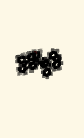 c1ccc(-c2nc(-c3cccc4sc5ccccc5c34)nc(-n3c4ccccc4c4c5c(ccc43)-c3ccccc3C53c4ccccc4-c4ccccc43)n2)cc1